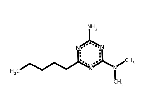 CCCCCc1nc(N)nc(N(C)C)n1